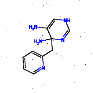 NC1=CNC=NC1(N)Cc1ccccn1